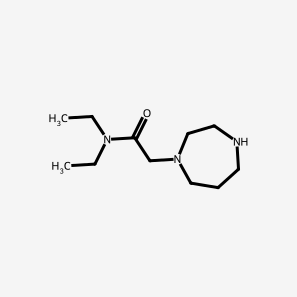 CCN(CC)C(=O)CN1CCCNCC1